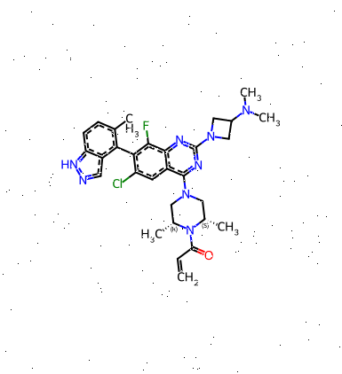 C=CC(=O)N1[C@H](C)CN(c2nc(N3CC(N(C)C)C3)nc3c(F)c(-c4c(C)ccc5[nH]ncc45)c(Cl)cc23)C[C@@H]1C